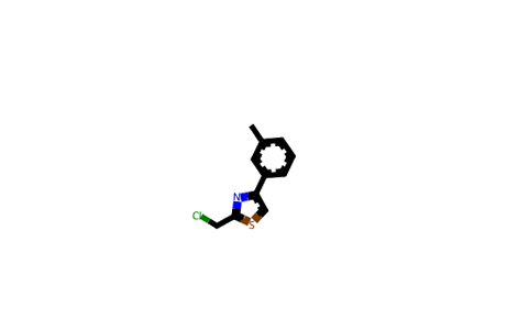 Cc1cccc(-c2csc(CCl)n2)c1